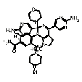 CCN1CCN(C(=O)c2cc(C(N)=O)c(C)cc2N2C3=C(CCN3C(=O)O)C(c3cnc(N)nc3)=NC2(c2cnc(N)nc2)N2CCOCC2)CC1